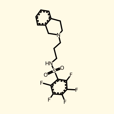 O=S(=O)(NCCCN1CCc2ccccc2C1)c1c(F)c(F)c(F)c(F)c1F